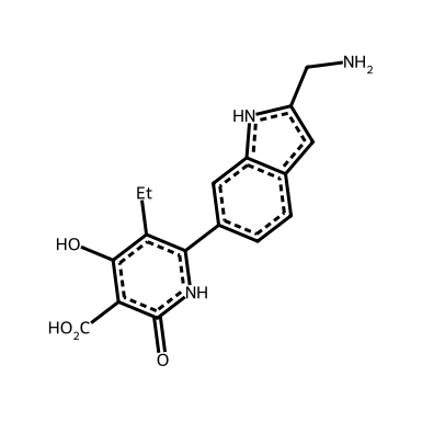 CCc1c(-c2ccc3cc(CN)[nH]c3c2)[nH]c(=O)c(C(=O)O)c1O